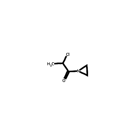 CC(Cl)C(=O)N1CC1